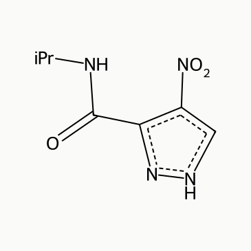 CC(C)NC(=O)c1n[nH]cc1[N+](=O)[O-]